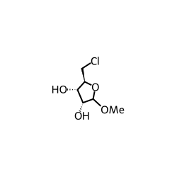 COC1O[C@H](CCl)[C@@H](O)[C@H]1O